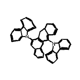 C1=CC2=C(n3c4ccccc4c4ccccc43)c3c(c(-n4c5ccccc5c5ccccc54)cc4ccccc34)CC2CC1